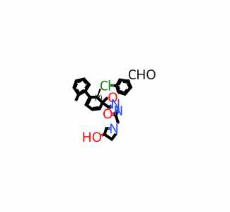 Cc1ccccc1C1=CC=CC(COc2ccc(C=O)cc2Cl)(c2nnc(CN3CCC(O)C3)o2)[C@@H]1C